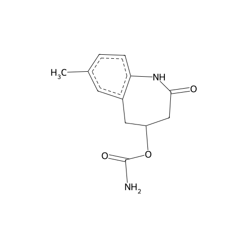 Cc1ccc2c(c1)CC(OC(N)=O)CC(=O)N2